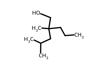 CCCC(C)(CO)CC(C)C